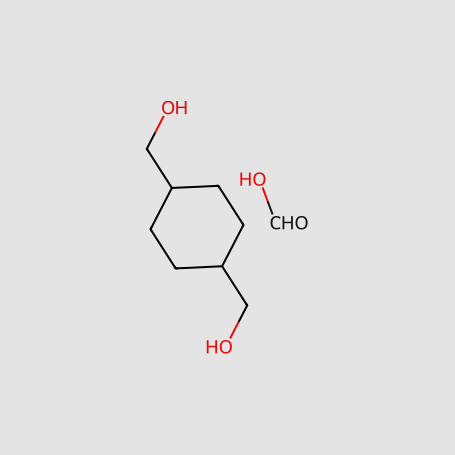 O=CO.OCC1CCC(CO)CC1